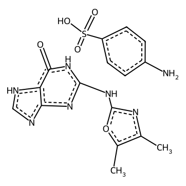 Cc1nc(Nc2nc3nc[nH]c3c(=O)[nH]2)oc1C.Nc1ccc(S(=O)(=O)O)cc1